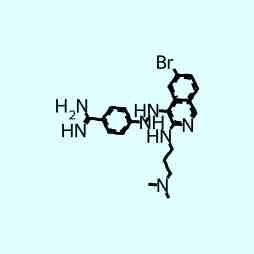 CN(C)CCCNc1ncc2ccc(Br)cc2c1NNc1ccc(C(=N)N)cc1